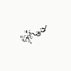 CN(CCc1ccn(-c2ccc(F)cn2)n1)C(=O)OC(C)(C)C